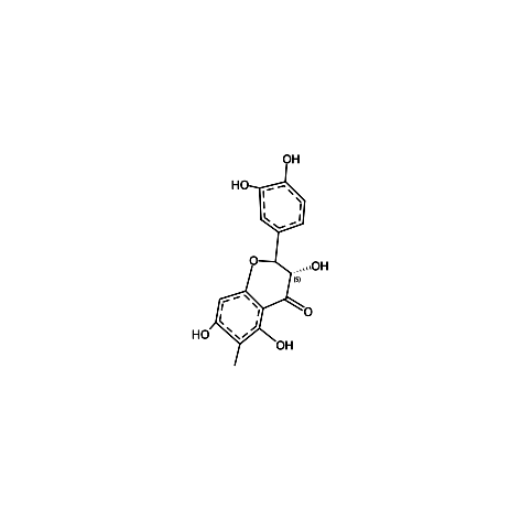 Cc1c(O)cc2c(c1O)C(=O)[C@@H](O)C(c1ccc(O)c(O)c1)O2